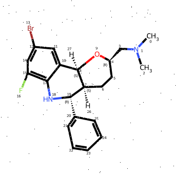 CN(C)C[C@H]1CC[C@@H]2[C@H](O1)c1cc(Br)cc(F)c1N[C@H]2c1ccccc1